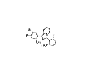 Oc1cc(F)c(Br)cc1-c1nc(-c2c(O)cccc2F)n2ccccc12